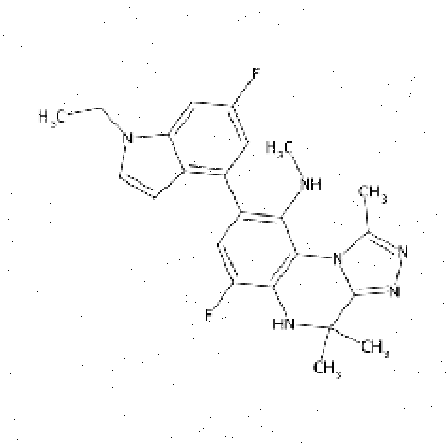 CCn1ccc2c(-c3cc(F)c4c(c3NC)-n3c(C)nnc3C(C)(C)N4)cc(F)cc21